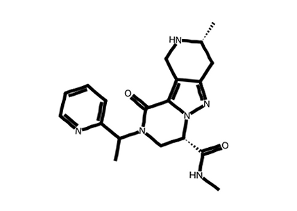 CNC(=O)[C@@H]1CN(C(C)c2ccccn2)C(=O)c2c3c(nn21)C[C@@H](C)NC3